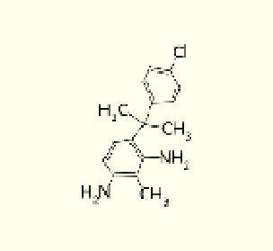 Cc1c(N)ccc(C(C)(C)c2ccc(Cl)cc2)c1N